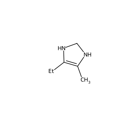 CCC1=C(C)NCN1